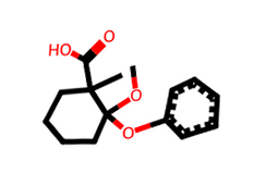 COC1(Oc2ccccc2)CCCCC1(C)C(=O)O